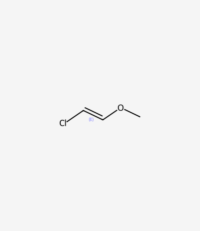 CO/C=C/Cl